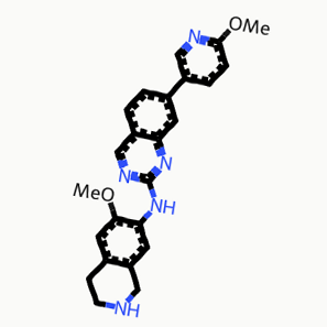 COc1ccc(-c2ccc3cnc(Nc4cc5c(cc4OC)CCNC5)nc3c2)cn1